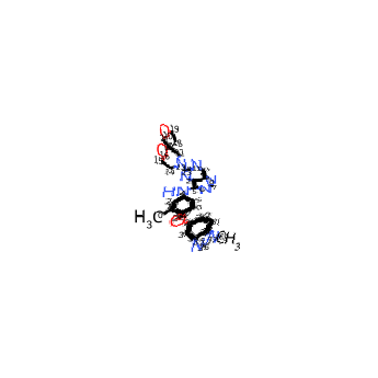 Cc1cc(Nc2ncnc3cnc(N4CCO[C@]5(CCOC5)C4)nc23)ccc1Oc1ccc2c(c1)ncn2C